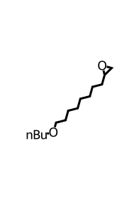 CCCCOCCCCCCCCC1CO1